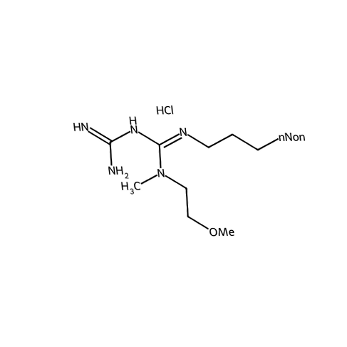 CCCCCCCCCCCCN=C(NC(=N)N)N(C)CCOC.Cl